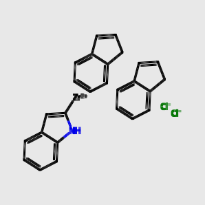 C1=Cc2ccccc2C1.C1=Cc2ccccc2C1.[Cl-].[Cl-].[Zr+2][c]1cc2ccccc2[nH]1